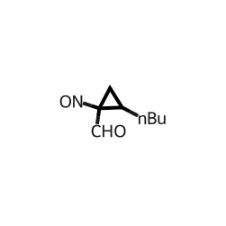 CCCCC1CC1(C=O)N=O